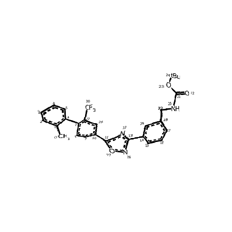 Cc1ccccc1-c1ccc(-c2nc(-c3cccc(CNC(=O)OC(C)(C)C)c3)no2)cc1C(F)(F)F